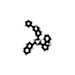 c1ccc(-c2cc3cc(-c4nc(-c5ccc6ccccc6c5)nc(-c5cccc6oc7ccccc7c56)n4)ccc3cn2)cc1